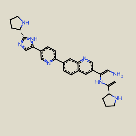 C=C(N/C(=C\N)c1cnc2cc(-c3ccc(-c4cnc([C@@H]5CCCN5)[nH]4)cn3)ccc2c1)[C@@H]1CCCN1